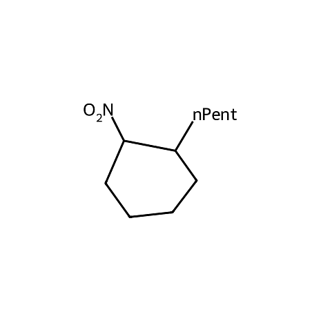 CCCCCC1CCCCC1[N+](=O)[O-]